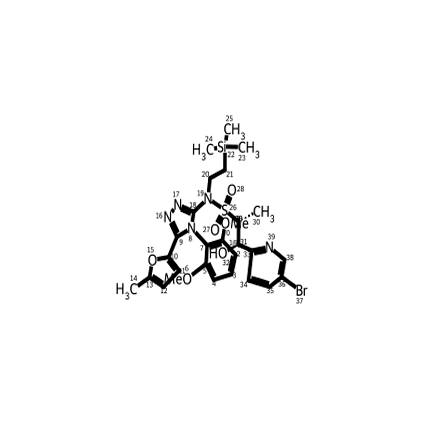 COc1cccc(OC)c1-n1c(-c2ccc(C)o2)nnc1N(CC[Si](C)(C)C)S(=O)(=O)[C@H](C)[C@H](O)c1ccc(Br)cn1